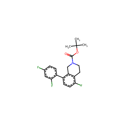 CC(C)(C)OC(=O)N1CCc2c(F)ccc(-c3ccc(F)cc3F)c2C1